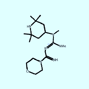 CN/C(=N\C(=N)N1CCOCC1)N(C)C1CC(C)(C)NC(C)(C)C1